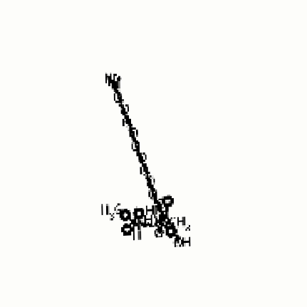 Cc1ccc(C(NCCCC[C@H](NC(=O)[C@H](Cc2ccccc2)NC(=O)CCOCCOCCOCCOCCOCCOCCOCCOCCOCCN=[N+]=[N-])C(=O)Nc2ccc(CO)cc2C)(c2ccccc2)c2ccccc2)cc1